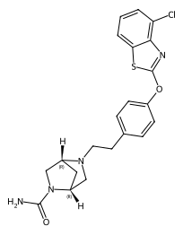 NC(=O)N1C[C@H]2C[C@@H]1CN2CCc1ccc(Oc2nc3c(Cl)cccc3s2)cc1